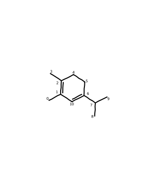 CC1=C(C)CCC(C(C)C)=C1